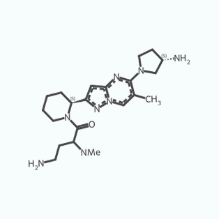 CNC(CCN)C(=O)N1CCCC[C@H]1c1cc2nc(N3CC[C@H](N)C3)c(C)cn2n1